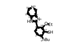 CCCCc1ccc(-c2nc3cnccc3[nH]2)c(OCC)c1S